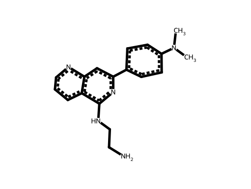 CN(C)c1ccc(-c2cc3ncccc3c(NCCN)n2)cc1